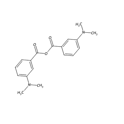 CN(C)c1cccc(C(=O)OC(=O)c2cccc(N(C)C)c2)c1